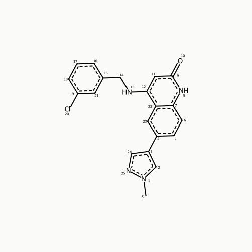 Cn1cc(-c2ccc3[nH]c(=O)cc(NCc4cccc(Cl)c4)c3c2)cn1